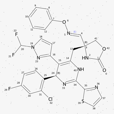 O=C1N[C@@](/C=N/Oc2ccccc2)(CC2=C(c3ccn(C(F)F)n3)[C@H](c3ccc(F)cc3Cl)N=C(c3nccs3)N2)CO1